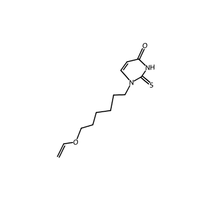 C=COCCCCCCn1ccc(=O)[nH]c1=S